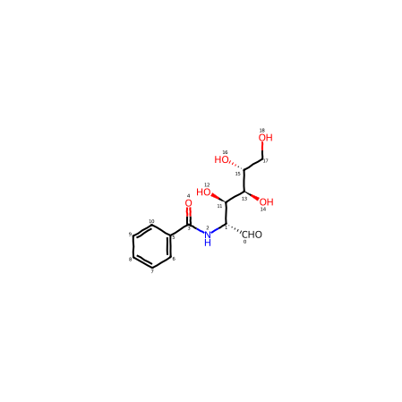 O=C[C@H](NC(=O)c1ccccc1)[C@@H](O)[C@H](O)[C@H](O)CO